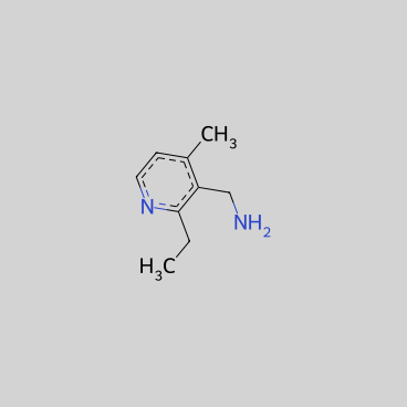 CCc1nccc(C)c1CN